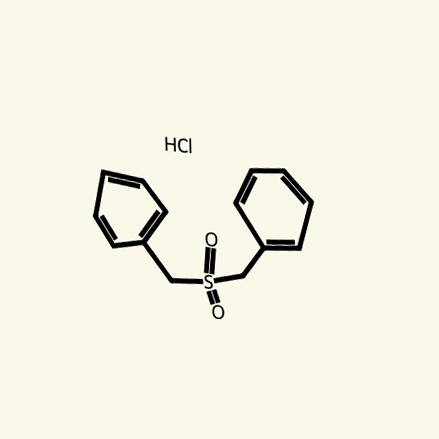 Cl.O=S(=O)(Cc1ccccc1)Cc1ccccc1